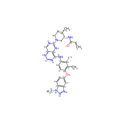 C=CC(=O)N[C@@H]1CN(c2ncc3ncnc(Nc4ccc(Oc5ccc6c(c5)nnn6C)c(C)c4F)c3n2)CC[C@H]1C